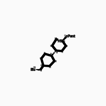 CCCCC[Si@H]1CC[C@H](C2CCC(C[C@@H](C)CC)CC2)CC1